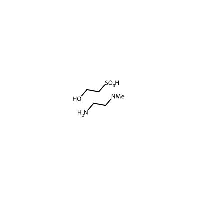 CNCCN.O=S(=O)(O)CCO